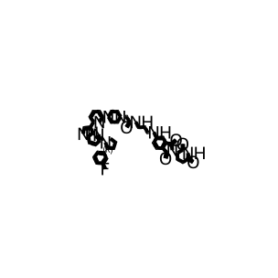 O=C(CN1CCN(c2cccc(-c3cnc4ccc(N5CCC[C@@H]5c5cccc(F)c5)nn34)n2)CC1)NCCCNc1ccc2c(c1)C(=O)N(C1CCC(=O)NC1=O)C2=O